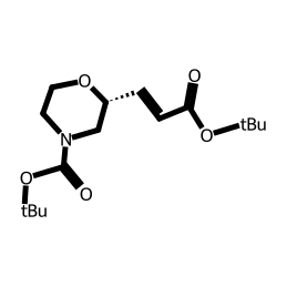 CC(C)(C)OC(=O)/C=C/[C@@H]1CN(C(=O)OC(C)(C)C)CCO1